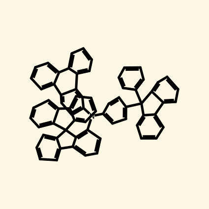 c1ccc(C2(c3ccc(N(c4ccc5c6ccccc6c6ccccc6c5c4)c4cccc5c4C4(c6ccccc6-c6ccccc64)c4ccccc4-5)cc3)c3ccccc3-c3ccccc32)cc1